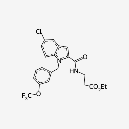 CCOC(=O)CCNC(=O)c1cc2cc(Cl)ccc2n1Cc1cccc(OC(F)(F)F)c1